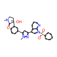 CN1CC[C@@](O)(c2cccc(-c3cc(-c4cn(S(=O)(=O)c5ccccc5)c5ncccc45)nn3C)c2)C1=O